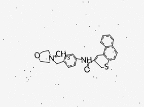 C[N+]1(Cc2ccc(NC(=O)C3=Cc4c(ccc5ccccc45)SC3)cc2)CCOCC1